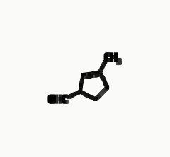 CC1=CC(C=O)CC1